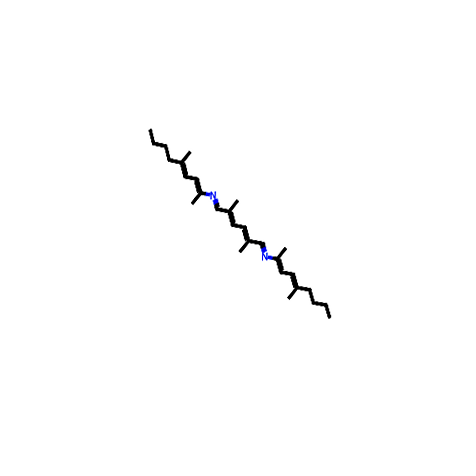 CCCC/C(C)=C/C=C(\C)N=C/C(C)=C/C=C(\C)C=N/C(C)=C/C=C(\C)CCCC